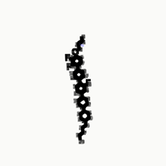 C/C=C/COc1ccc(-c2ccc(-c3ccc(C4=CCC(C5CCC(CCCCC)CC5)CC4)cc3F)cc2)c(F)c1F